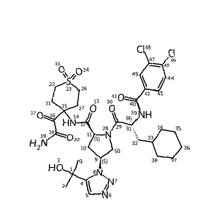 CC(C)(O)c1cnnn1[C@H]1C[C@@H](C(=O)NC2(C(=O)C(N)=O)CCS(=O)(=O)CC2)N(C(=O)[C@@H](CC2CCCCC2)NC(=O)c2ccc(Cl)c(Cl)c2)C1